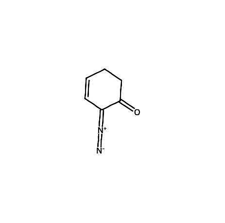 [N-]=[N+]=C1C=CCCC1=O